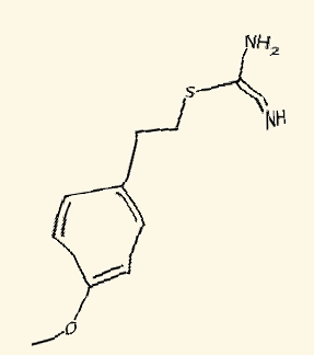 COc1ccc(CCSC(=N)N)cc1